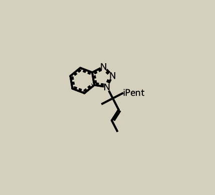 CC=CC(C)(C(C)CCC)n1nnc2ccccc21